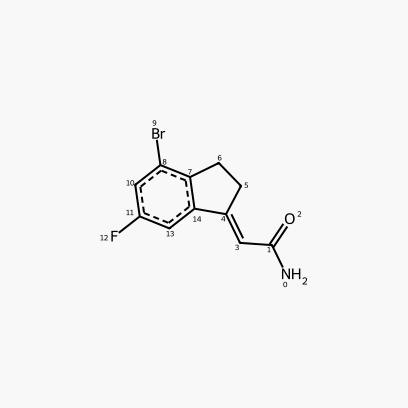 NC(=O)C=C1CCc2c(Br)cc(F)cc21